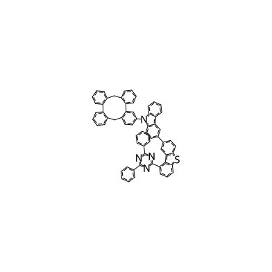 c1ccc(-c2nc(-c3ccccc3)nc(-c3cccc4sc5ccc(-c6ccc7c(c6)c6ccccc6n7-c6ccc7c(c6)-c6ccccc6Cc6ccccc6-c6ccccc6C7)cc5c34)n2)cc1